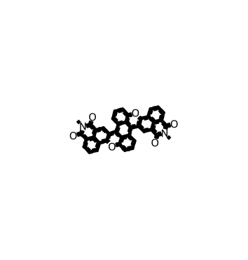 Cn1c(=O)c2cccc3c4oc5cccc6c5c(c4cc(c1=O)c23)c1cccc2oc3c4cccc5c(=O)n(C)c(=O)c(cc3c6c21)c54